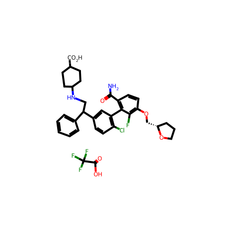 NC(=O)c1ccc(OC[C@@H]2CCCO2)c(F)c1-c1cc(C(CNC2CCC(C(=O)O)CC2)c2ccccc2)ccc1Cl.O=C(O)C(F)(F)F